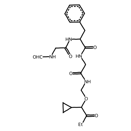 CCC(=O)C(OCNC(=O)CNC(=O)C(Cc1ccccc1)NC(=O)CNC=O)C1CC1